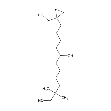 CC(C)(CO)CCCCC(O)CCCCC1(CO)CC1